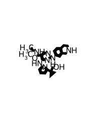 CC(C)NC(=O)c1cnc(Nc2ccc3c(c2)CNCC3)nc1Nc1cccc(C2(CO)CC2)n1